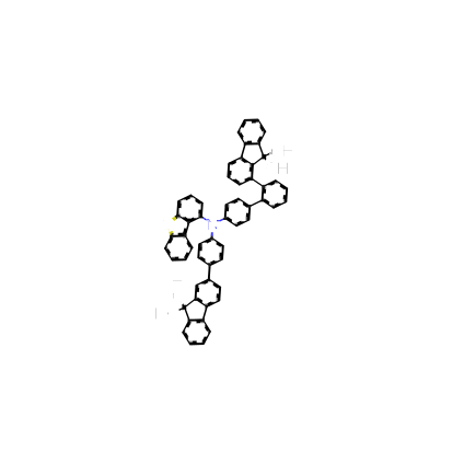 CC1(C)c2ccccc2-c2ccc(-c3ccc(N(c4ccc(-c5ccccc5-c5cccc6c5C(C)(C)c5ccccc5-6)cc4)c4cccc5sc6ccccc6c45)cc3)cc21